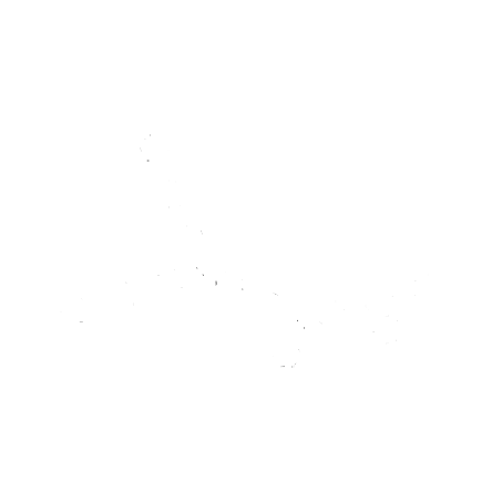 c1ccc(-c2ccc(-c3ccc4c(c3)c3cc(-c5ccc(-c6ccccc6)cc5)ccc3n4-c3ccc(-c4ccc5c(c4)c4ccccc4n5-c4ccc(-c5c6ccccc6c(-c6ccccc6)c6ccccc56)cc4)cc3)cc2)cc1